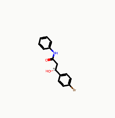 O=C(C[C@@H](O)c1ccc(Br)cc1)Nc1ccccc1